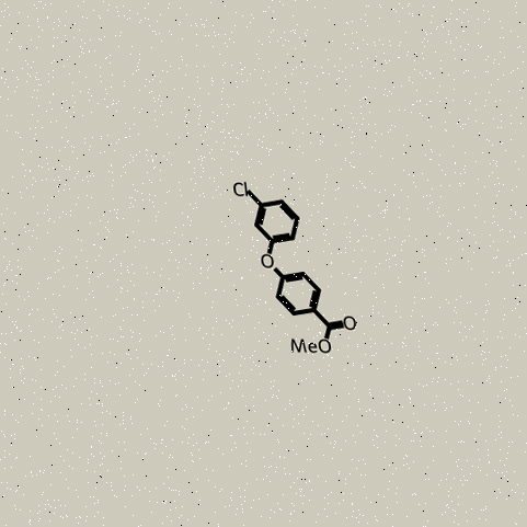 COC(=O)c1ccc(Oc2cccc(Cl)c2)cc1